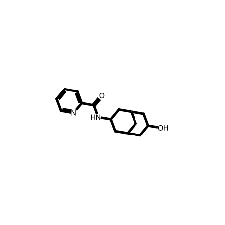 O=C(NC1CC2CC(O)CC(C2)C1)c1ccccn1